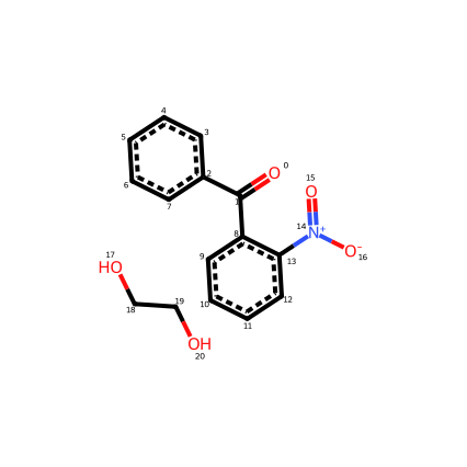 O=C(c1ccccc1)c1ccccc1[N+](=O)[O-].OCCO